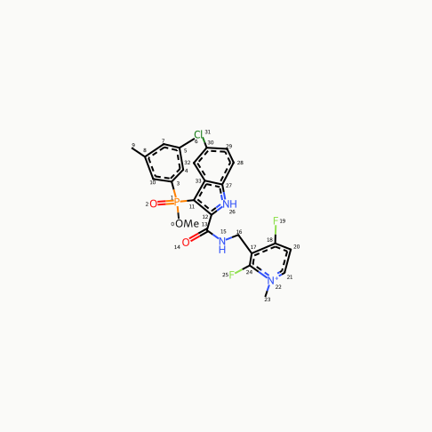 COP(=O)(c1cc(C)cc(C)c1)c1c(C(=O)NCc2c(F)cc[n+](C)c2F)[nH]c2ccc(Cl)cc12